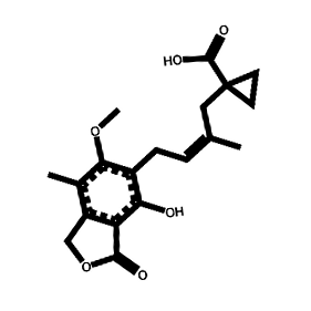 COc1c(C)c2c(c(O)c1CC=C(C)CC1(C(=O)O)CC1)C(=O)OC2